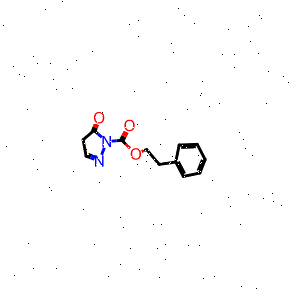 O=C1CC=NN1C(=O)OCCc1ccccc1